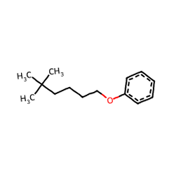 CC(C)(C)CCCCOc1ccccc1